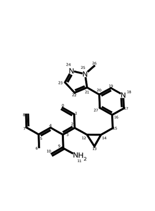 C=C/C(=C(\C=C(/C)C=C)C(=C)N)C1CC1Cc1cncc(-c2ccnn2C)c1